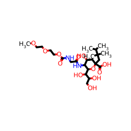 COCCOCCOC(=O)NCC(=O)NC1C(O)CC(CC(C)(C)C(C)C)(C(=O)O)OC1C(O)C(O)CO